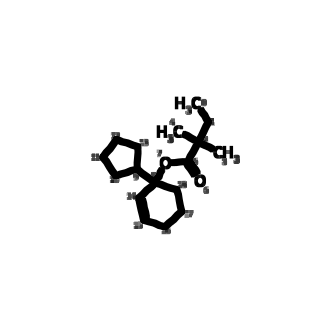 CCC(C)(C)C(=O)OC1(C2CCCC2)C=CCCC1